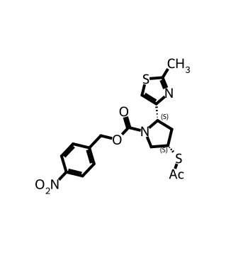 CC(=O)S[C@H]1C[C@@H](c2csc(C)n2)N(C(=O)OCc2ccc([N+](=O)[O-])cc2)C1